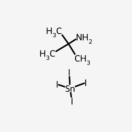 CC(C)(C)N.[I][Sn]([I])([I])[I]